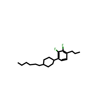 CCCCCCC1CCC(c2ccc(CCC)c(F)c2F)CC1